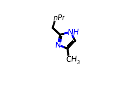 CCCCc1nc(C)c[nH]1